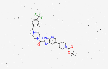 CC(C)(C)OC(=O)N1CCC(c2cnc3[nH]c(C(=O)N4CCN(Cc5ccc(C(F)(F)F)cc5)CC4)nc3c2)CC1